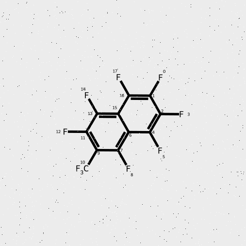 Fc1c(F)c(F)c2c(F)c(C(F)(F)F)c(F)c(F)c2c1F